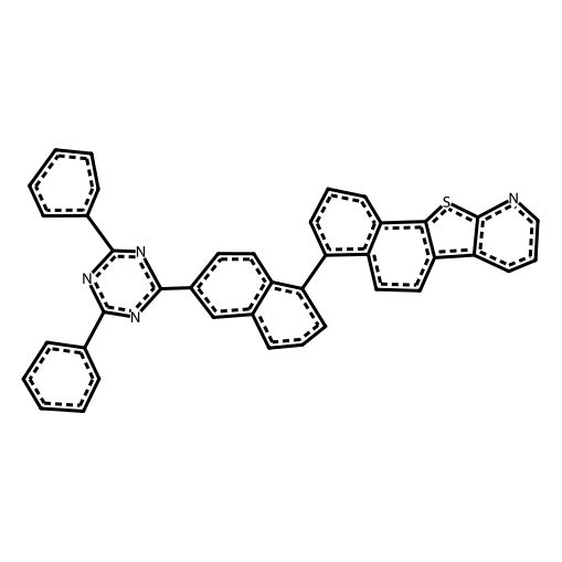 c1ccc(-c2nc(-c3ccccc3)nc(-c3ccc4c(-c5cccc6c5ccc5c7cccnc7sc65)cccc4c3)n2)cc1